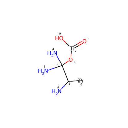 CC(C)C(N)C(N)(N)[O][Ti](=[O])[OH]